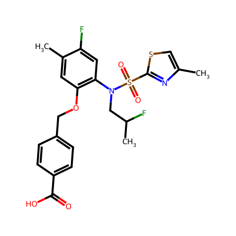 Cc1csc(S(=O)(=O)N(CC(C)F)c2cc(F)c(C)cc2OCc2ccc(C(=O)O)cc2)n1